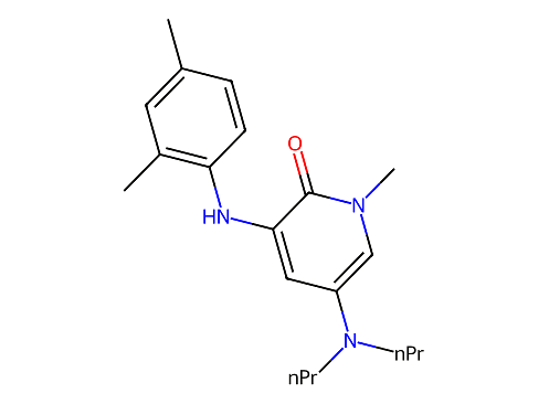 CCCN(CCC)c1cc(Nc2ccc(C)cc2C)c(=O)n(C)c1